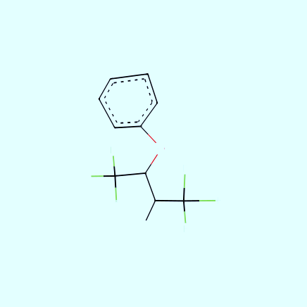 CC(C(Oc1ccccc1)C(F)(F)F)C(F)(F)F